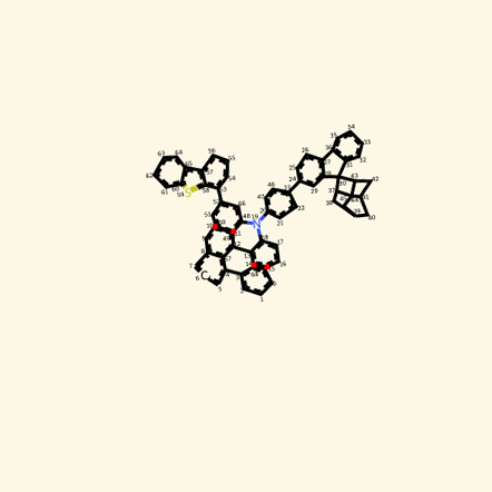 c1ccc(-c2cccc3cccc(-c4ccccc4N(c4ccc(-c5ccc6c(c5)C5(c7ccccc7-6)C6CC7CC8CC5C86C7)cc4)c4cccc(-c5cccc6c5sc5ccccc56)c4)c23)cc1